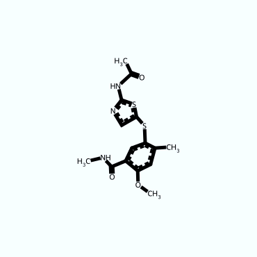 CNC(=O)c1cc(Sc2cnc(NC(C)=O)s2)c(C)cc1OC